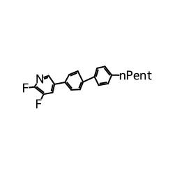 CCCCCc1ccc(-c2ccc(-c3cnc(F)c(F)c3)cc2)cc1